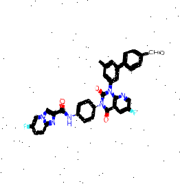 Cc1cc(-c2ccc(C=O)cc2)cc(-n2c(=O)n([C@H]3CC[C@@H](NC(=O)c4cn5cc(F)ccc5n4)CC3)c(=O)c3cc(F)cnc32)c1